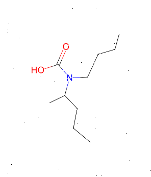 CCCCN(C(=O)O)C(C)CCC